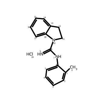 Cc1ccccc1NC(=N)N1CCc2ccccc21.Cl